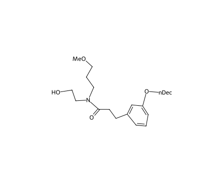 CCCCCCCCCCOc1cccc(CCC(=O)N(CCO)CCCOC)c1